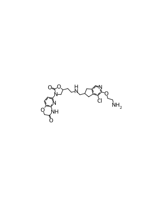 NCCOc1ncc2c(c1Cl)CC(CNCCC1CN(c3ccc4c(n3)NC(=O)CO4)C(=O)O1)C2